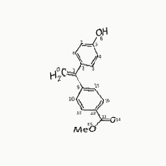 C=C(c1ccc(O)cc1)c1ccc(C(=O)OC)cc1